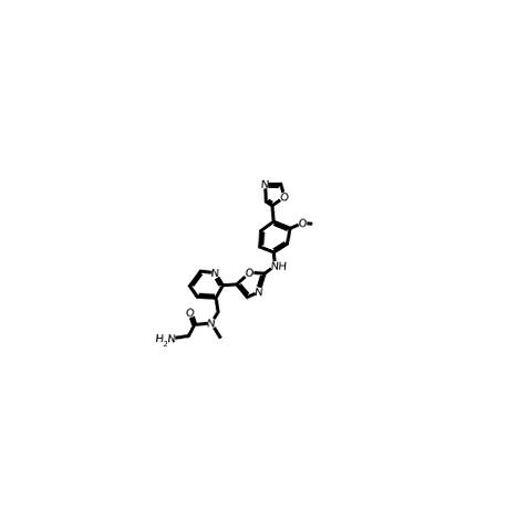 COc1cc(Nc2ncc(-c3ncccc3CN(C)C(=O)CN)o2)ccc1-c1cnco1